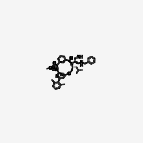 COCN1c2nc(cc(-c3c(C)cccc3C)n2)OC[C@@H](CC(C)C)N(/C(C=N)=C/NCc2ccccc2)C(=O)c2cccc(c2)S1(=O)=O